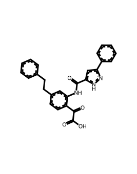 O=C(O)C(=O)c1ccc(CCc2ccccc2)cc1NC(=O)c1cc(-c2ccccc2)n[nH]1